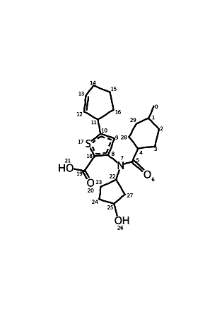 CC1CCC(C(=O)N(c2cc(C3C=CCCC3)sc2C(=O)O)C2CCC(O)C2)CC1